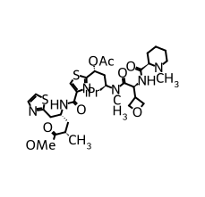 COC(=O)[C@@H](C)C[C@H](Cc1nccs1)NC(=O)c1csc([C@@H](C[C@H](C(C)C)N(C)C(=O)[C@@H](NC(=O)[C@H]2CCCCN2C)C2COC2)OC(C)=O)n1